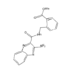 COC(=O)c1ccccc1CNC(=O)c1nc2ccccc2nc1N